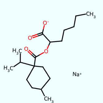 CCCCCC(OC(=O)C1(C(C)C)CCC(C)CC1)C(=O)[O-].[Na+]